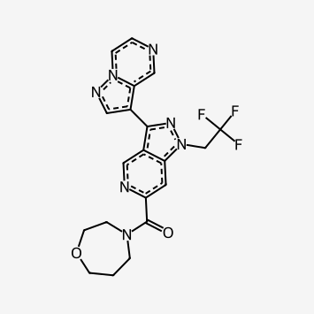 O=C(c1cc2c(cn1)c(-c1cnn3ccncc13)nn2CC(F)(F)F)N1CCCOCC1